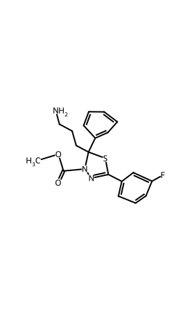 COC(=O)N1N=C(c2cccc(F)c2)SC1(CCCN)c1ccccc1